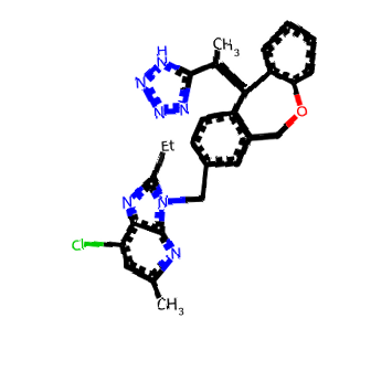 CCc1nc2c(Cl)cc(C)nc2n1Cc1ccc2c(c1)COc1ccccc1/C2=C(\C)c1nnn[nH]1